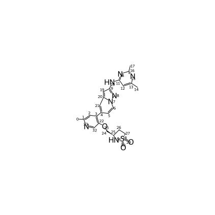 Cc1cc(-c2ccn3nc(Nc4cc(C)nc(C)n4)cc3c2)c(OC[C@H]2CCS(=O)(=O)N2)cn1